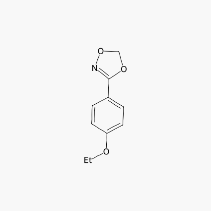 CCOc1ccc(C2=NOCO2)cc1